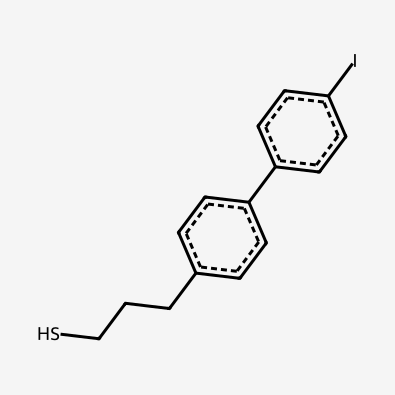 SCCCc1ccc(-c2ccc(I)cc2)cc1